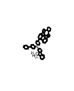 CC1(C)c2ccccc2-c2ccc(N(c3ccc(-c4ccccc4)cc3)c3ccc(-c4cccc5c4-c4ccccc4C54c5ccccc5-c5ccccc5-c5ccccc54)cc3)cc21